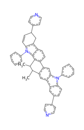 CC1c2cc3c4cc(-c5ccncc5)ccc4n(-c4ccccc4)c3cc2-c2ccc3c4c(n(-c5ccccc5)c3c2C1C)C=CC(c1ccncc1)C4